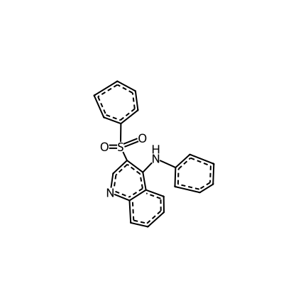 O=S(=O)(c1ccccc1)c1cnc2ccccc2c1Nc1ccccc1